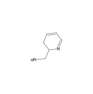 CCCCC1CC=CC=N1